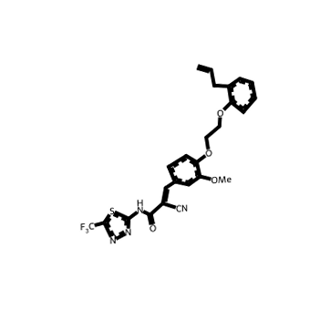 C=CCc1ccccc1OCCOc1ccc(/C=C(\C#N)C(=O)Nc2nnc(C(F)(F)F)s2)cc1OC